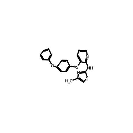 Cc1csc(Nc2ncccc2Sc2ccc(Oc3ccccc3)cc2)n1